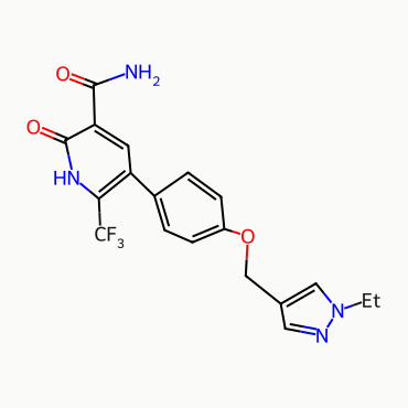 CCn1cc(COc2ccc(-c3cc(C(N)=O)c(=O)[nH]c3C(F)(F)F)cc2)cn1